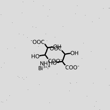 O=C([O-])C(O)C(O)C(=O)[O-].O=C([O-])C(O)C(O)C(=O)[O-].[Bi+3].[NH4+]